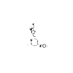 C/C(=C\c1cc(F)c2c(c1)nnn2CC1CC1)[C@H]1OC(=O)C[C@H](O)CC[C@H](C)[C@H](OC(=O)N2CCN(C)CC2)/C=C/[C@@H]1C